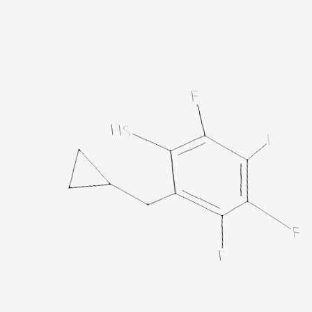 Fc1c(F)c(F)c(CC2CC2)c(S)c1F